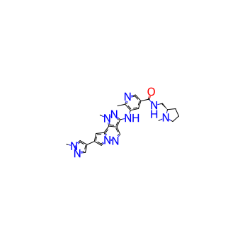 Cc1ncc(C(=O)NC[C@H]2CCCN2C)cc1Nc1nn(C)c2c1cnn1cc(-c3cnn(C)c3)cc21